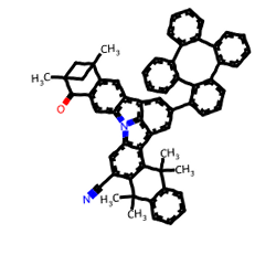 CC12CC(C)(C1)c1cc3c4cc(-c5cccc6c5-c5ccccc5-c5ccccc5-c5ccccc5-6)cc5c6c7c(c(C#N)cc6n(c3cc1C2=O)c45)C(C)(C)c1ccccc1C7(C)C